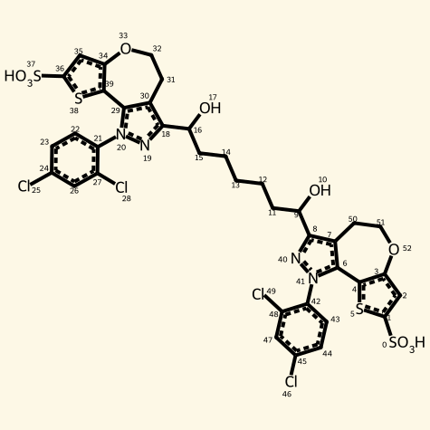 O=S(=O)(O)c1cc2c(s1)-c1c(c(C(O)CCCCCC(O)c3nn(-c4ccc(Cl)cc4Cl)c4c3CCOc3cc(S(=O)(=O)O)sc3-4)nn1-c1ccc(Cl)cc1Cl)CCO2